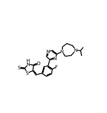 CC(C)N1CCCN(c2cncc(-c3cc(C=C4SC(=S)NC4=O)ccc3F)n2)CC1